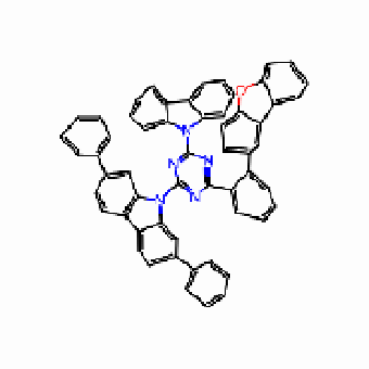 c1ccc(-c2ccc3c4ccc(-c5ccccc5)cc4n(-c4nc(-c5ccccc5-c5ccc6oc7ccccc7c6c5)nc(-n5c6ccccc6c6ccccc65)n4)c3c2)cc1